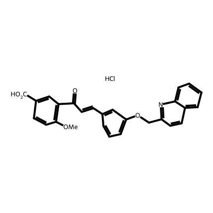 COc1ccc(C(=O)O)cc1C(=O)/C=C/c1cccc(OCc2ccc3ccccc3n2)c1.Cl